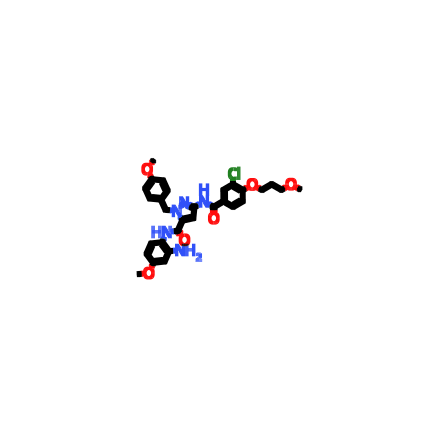 COCCCOc1ccc(C(=O)Nc2cc(C(=O)Nc3ccc(OC)cc3N)n(Cc3ccc(OC)cc3)n2)cc1Cl